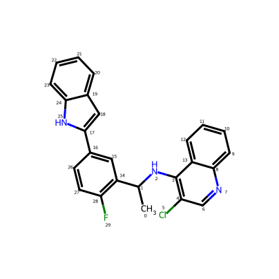 CC(Nc1c(Cl)cnc2ccccc12)c1cc(-c2cc3ccccc3[nH]2)ccc1F